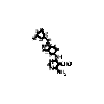 Nc1ncnc(Nc2ccc3c(cnn3Cc3cccc(F)c3)c2)c1C=O